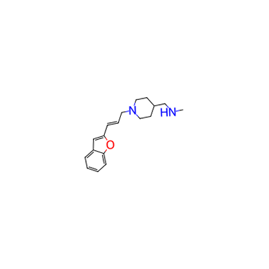 CNCC1CCN(C/C=C/c2cc3ccccc3o2)CC1